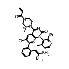 BC(B)=Cc1ccccc1-c1nc2c(cc1Cl)c(N1CCN(C(=O)C=C)C[C@@H]1C)nc(=O)n2-c1c(C)ccnc1C(C)C